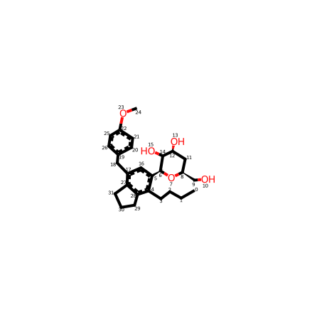 CCCCc1c([C@@H]2O[C@H](CO)C[C@H](O)C2O)cc(Cc2ccc(OC)cc2)c2c1CCC2